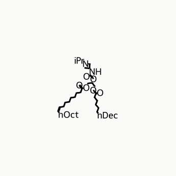 CCCCCCCC/C=C\CCCCCCCC(=O)OCC(COC(=O)CCCCCCCCCCCCCCC)OC(=O)NC1CN(C(C)C)C1